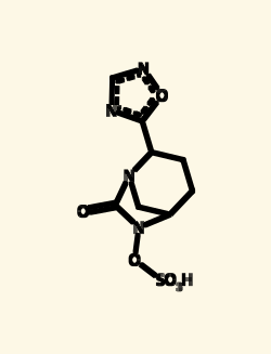 O=C1N2CC(CCC2c2ncno2)N1OS(=O)(=O)O